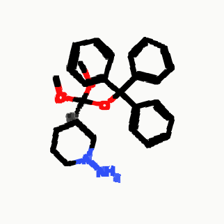 COC(OC)(OC(c1ccccc1)(c1ccccc1)c1ccccc1)[C@H]1CCCN(N)C1